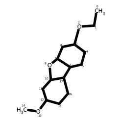 CCOC1CCC2C(C1)OC1CC(OC)CCC12